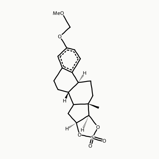 COCOc1ccc2c(c1)CC[C@H]1C3C[C@@H]4OS(=O)(=O)O[C@@H]4[C@@]3(C)CC[C@H]21